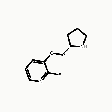 Fc1ncccc1OC[C@@H]1CCCN1